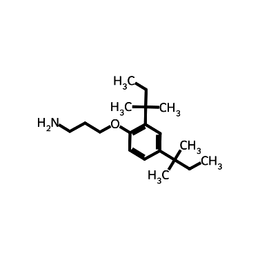 CCC(C)(C)c1ccc(OCCCN)c(C(C)(C)CC)c1